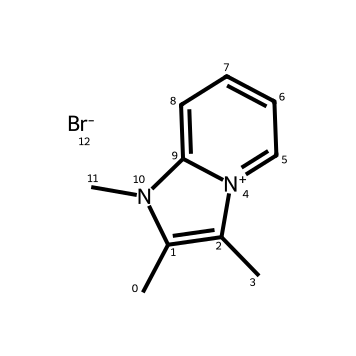 Cc1c(C)[n+]2ccccc2n1C.[Br-]